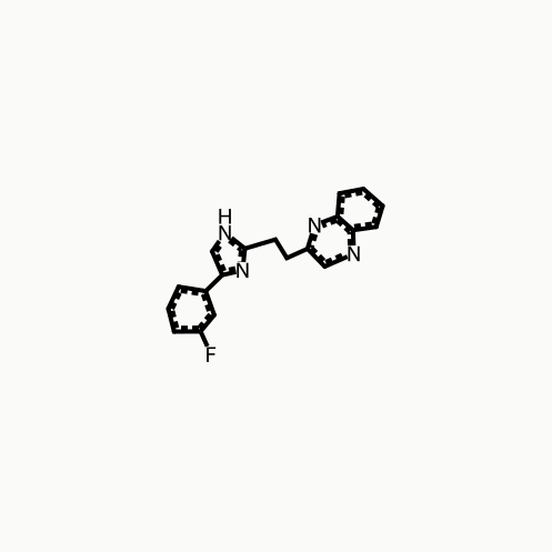 Fc1cccc(-c2c[nH]c(CCc3cnc4ccccc4n3)n2)c1